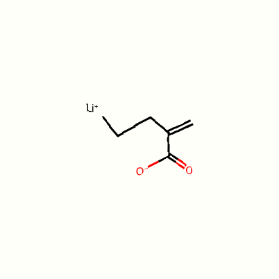 C=C(CCC)C(=O)[O-].[Li+]